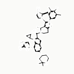 Cc1cc(-n2nc3c(c2N2C=CNC2=C=O)[C@H](C)N(C(=O)c2cc4cc([C@H]5CCOC(C)(C)C5)ccc4n2[C@@]2(c4noc(=O)[nH]4)C[C@@H]2C)CC3)cc(C)c1F